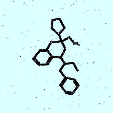 CCC(Cc1ccccc1)C1CC(CN)(C2CCCC2)Oc2ccccc21